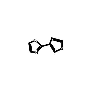 [c]1sccc1-c1ncco1